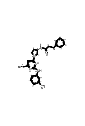 CCCc1cc(N2CC[C@H](NC(=O)CCc3ccccc3)C2)nc(Nc2cccc(C#N)c2)n1